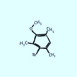 COc1c(C)cc(C)c(Br)c1C